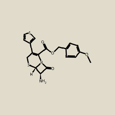 COc1ccc(COC(=O)C2=C(c3ccsc3)CS[C@H]3[C@H](N)C(=O)N23)cc1